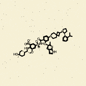 Cc1nc2[nH]ccc2cc1Oc1cc(N2CCC3(CC2)CC(N2CCC[C@H]2c2ccccc2C(C)C)C3)ccc1C(=O)NS(=O)(=O)c1cc2c(c([N+](=O)[O-])c1)N[C@@H]([C@H]1CC[C@](C)(O)CC1)CO2